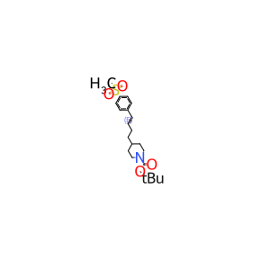 CC(C)(C)OC(=O)N1CCC(CC/C=C/c2ccc(S(C)(=O)=O)cc2)CC1